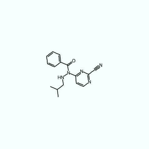 CC(C)CNN(C(=O)c1ccccc1)c1ccnc(C#N)n1